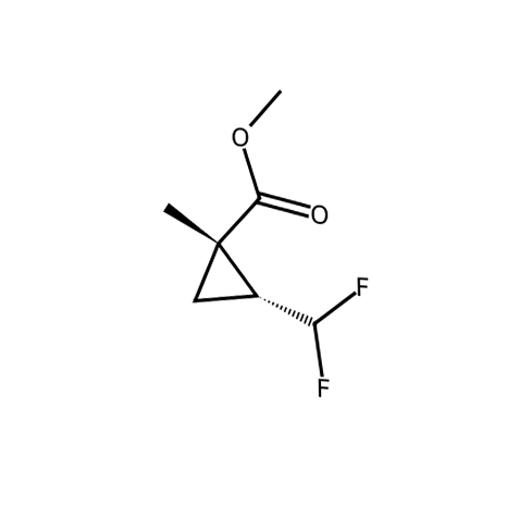 COC(=O)[C@@]1(C)C[C@H]1C(F)F